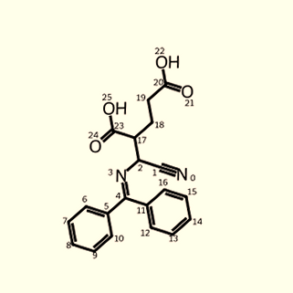 N#CC(N=C(c1ccccc1)c1ccccc1)C(CCC(=O)O)C(=O)O